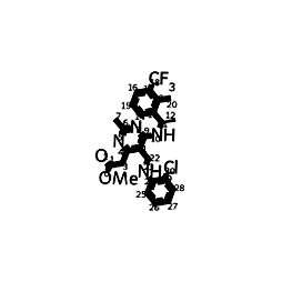 COC(=O)Cc1nc(C)nc(N[C@H](C)c2cccc(C(F)(F)F)c2C)c1CNc1ccccc1Cl